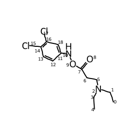 CCN(CC)CCC(=O)ONc1ccc(Cl)c(Cl)c1